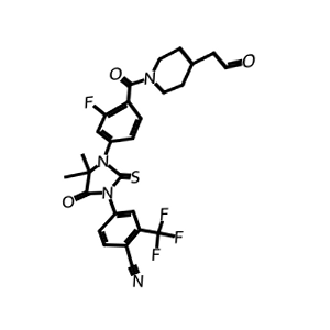 CC1(C)C(=O)N(c2ccc(C#N)c(C(F)(F)F)c2)C(=S)N1c1ccc(C(=O)N2CCC(CC=O)CC2)c(F)c1